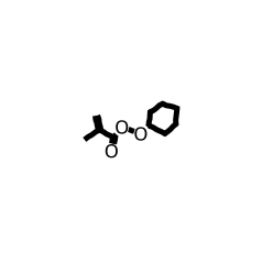 C=C(C)C(=O)OOC1CCCCC1